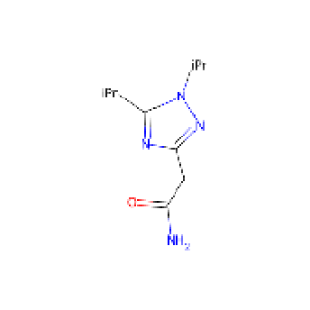 CC(C)c1nc(CC(N)=O)nn1C(C)C